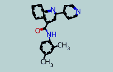 Cc1ccc(NC(=O)c2cc(-c3ccncc3)nc3ccccc23)c(C)c1